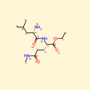 CCOC(=O)[C@H](CCC(=O)NC)NC(=O)[C@@H](N)CC(C)C